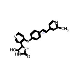 Cc1cc(/C=C/c2ccc(Sc3ccncc3C3NC(=O)NC3O)cc2)ccn1